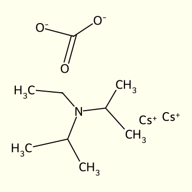 CCN(C(C)C)C(C)C.O=C([O-])[O-].[Cs+].[Cs+]